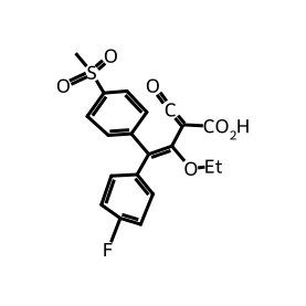 CCOC(C(=C=O)C(=O)O)=C(c1ccc(F)cc1)c1ccc(S(C)(=O)=O)cc1